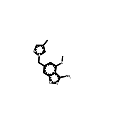 [CH2]c1cnn(Cc2cc(OC)c3c(N)noc3c2)c1